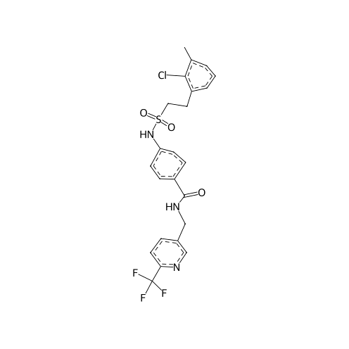 Cc1cccc(CCS(=O)(=O)Nc2ccc(C(=O)NCc3ccc(C(F)(F)F)nc3)cc2)c1Cl